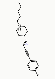 CCCCC[Si@H]1CC[C@H](/C=C/C#Cc2ccc(F)cc2)CC1